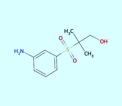 CC(C)(CO)S(=O)(=O)c1cccc(N)c1